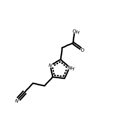 N#CCCc1c[nH]c(CC(=O)O)n1